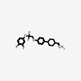 C=CC1CCC(c2ccc(OCC(F)(F)Oc3ccc(F)c(F)c3)cc2)CC1